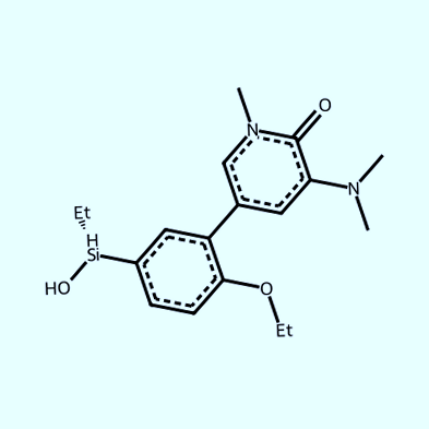 CCOc1ccc([Si@H](O)CC)cc1-c1cc(N(C)C)c(=O)n(C)c1